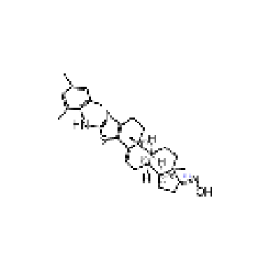 Cc1cc(C)c(Nc2nc3c(s2)C2=CC[C@@H]4[C@H](CC[C@]5(C)/C(=N/O)CC[C@@H]45)[C@@]2(C)CC3)c(C)c1